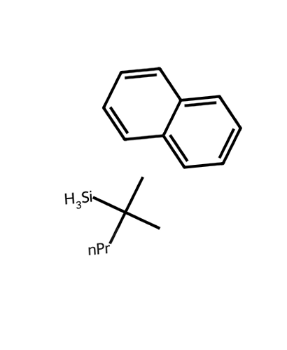 CCCC(C)(C)[SiH3].c1ccc2ccccc2c1